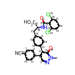 Cn1ncc(-c2ccc(C#N)cc2)c(-c2ccc(C[C@H](NC(=O)c3c(Cl)cccc3Cl)C(=O)O)cc2)c1=O